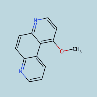 COc1ccnc2ccc3ncccc3c12